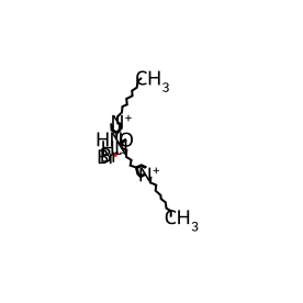 CCCCCCCCCC[n+]1ccc(CCCCNC(=O)Nc2cc[n+](CCCCCCCCCC)cc2)cc1.[Br-].[Br-]